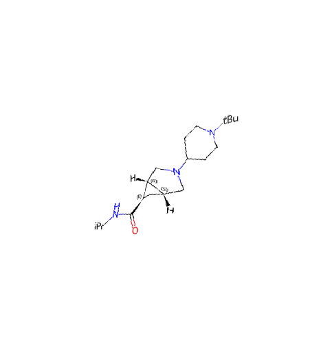 CC(C)NC(=O)[C@H]1[C@@H]2CN(C3CCN(C(C)(C)C)CC3)C[C@@H]21